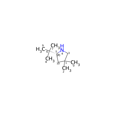 CC1(C)CN[C@@H](C(C)(C)C)C1